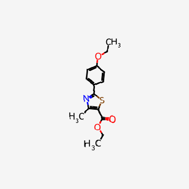 CCOC(=O)c1sc(-c2ccc(OCC)cc2)nc1C